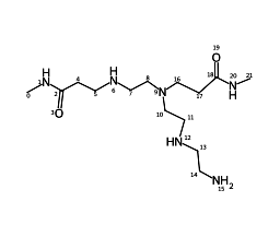 CNC(=O)CCNCCN(CCNCCN)CCC(=O)NC